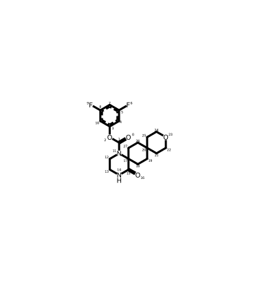 O=C(Oc1cc(F)cc(F)c1)N1CCNC(=O)C12CCC1(CCOCC1)CC2